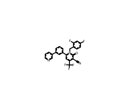 N#Cc1c(C(F)(F)F)cc(-c2cccc(-c3cccnc3)c2)n(Cc2ccc(F)cc2F)c1=O